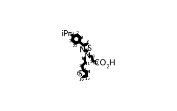 CC(C)c1ccc(-c2csc(N(CCCc3cccs3)CCC(=O)O)n2)cc1